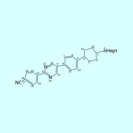 CCCCCCCC1CCC(c2ccc(-c3cnc(-c4ccc(C#N)cc4)nc3)cc2)CC1